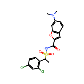 CC(c1ccc(Cl)cc1Cl)S(=O)(=O)NC(=O)c1cc2ccc(N(C)C)cc2o1